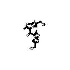 Cc1nc2sc(CO)cn2c1C(=O)c1c(C)nc2sc(CO)cn12